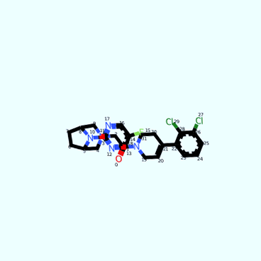 O=C(CN1CC2CCC(C1)N2c1ncc(F)cn1)N1CC=C(c2cccc(Cl)c2Cl)CC1